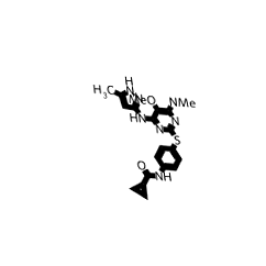 CNc1nc(Sc2ccc(NC(=O)C3CC3)cc2)nc(Nc2cc(C)[nH]n2)c1OC